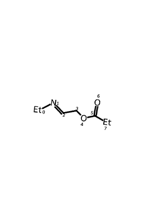 CC/N=C/COC(=O)CC